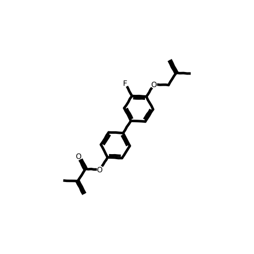 C=C(C)COc1ccc(-c2ccc(OC(=O)C(=C)C)cc2)cc1F